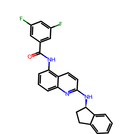 O=C(Nc1cccc2nc(N[C@@H]3CCc4ccccc43)ccc12)c1cc(F)cc(F)c1